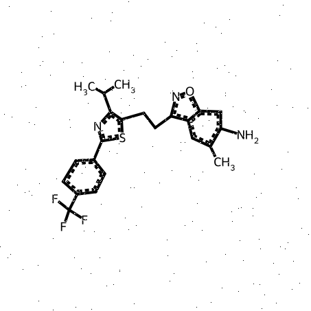 Cc1cc2c(CCc3sc(-c4ccc(C(F)(F)F)cc4)nc3C(C)C)noc2cc1N